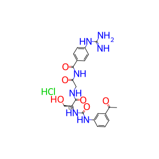 CC(=O)c1cccc(NC(=O)N[C@@H](CO)C(=O)NCC(=O)NC(=O)c2ccc(NC(=N)N)cc2)c1.Cl